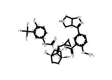 COc1ccc(C2=NOC3CNCC23)cc1C(=O)N[C@H]1[C@@H](C(=O)Nc2ccc(F)c(C(F)(F)F)c2)[C@H]2CC[C@@H]1/C2=C\C1CC1